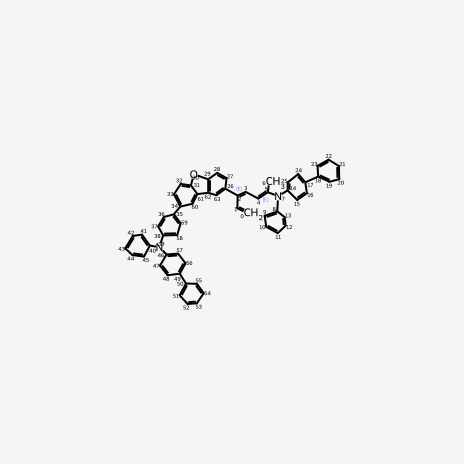 C=C/C(=C\C=C(/C)N(c1ccccc1)c1ccc(-c2ccccc2)cc1)c1ccc2oc3ccc(-c4ccc(N(c5ccccc5)c5ccc(-c6ccccc6)cc5)cc4)cc3c2c1